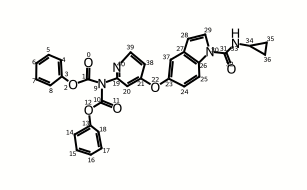 O=C(Oc1ccccc1)N(C(=O)Oc1ccccc1)c1cc(Oc2ccc3c(ccn3C(=O)NC3CC3)c2)ccn1